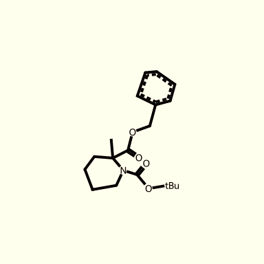 CC(C)(C)OC(=O)N1CCCCC1(C)C(=O)OCc1ccccc1